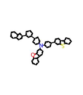 c1cc(-c2ccc(N(c3ccc(-c4ccc5c(c4)sc4ccccc45)cc3)c3ccc4c(c3)oc3ccccc34)cc2)cc(-c2ccc3ccccc3c2)c1